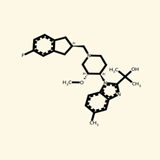 CO[C@@H]1CN(C[C@@H]2Cc3ccc(F)cc3C2)CC[C@H]1n1c(C(C)(C)O)nc2cc(C)ccc21